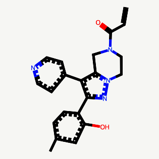 C=CC(=O)N1CCn2nc(-c3ccc(C)cc3O)c(-c3ccncc3)c2C1